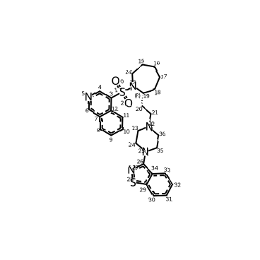 O=S(=O)(c1cncc2ccccc12)N1CCCCC[C@@H]1CCN1CCN(c2nsc3ccccc23)CC1